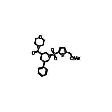 COCc1ccc(S(=O)(=O)N2CC(C(=O)N3CCOCC3)CC(c3ccccc3)C2)s1